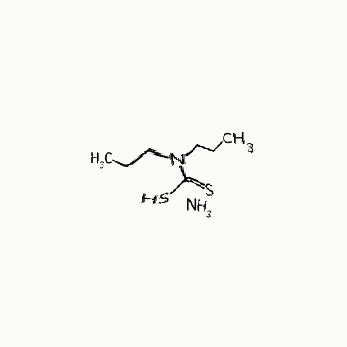 CCCN(CCC)C(=S)S.N